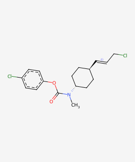 CN(C(=O)Oc1ccc(Cl)cc1)[C@H]1CC[C@H](/C=C/CCl)CC1